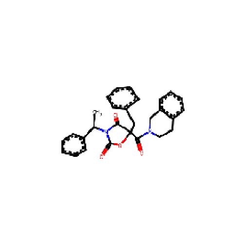 C[C@H](c1ccccc1)N1C(=O)OC(Cc2ccccc2)(C(=O)N2CCc3ccccc3C2)C1=O